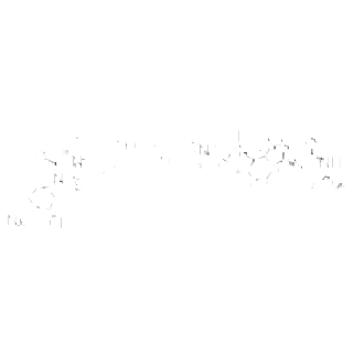 C[C@@H]1CC(OCCO[C@H]2CC[C@H](N3C(=S)N(c4ccc(C#N)c(C(F)(F)F)c4)C(=O)C3(C)C)CC2)C[C@H](C)N1CC(=O)Nc1cccc2c(N3CCC(=O)NC3=O)nn(C)c12